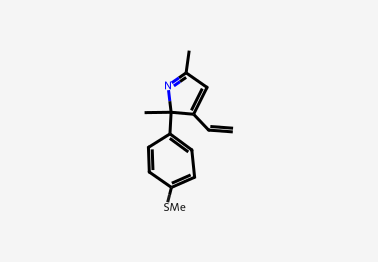 C=CC1=CC(C)=NC1(C)c1ccc(SC)cc1